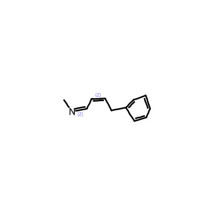 C/N=C\C=C/Cc1ccccc1